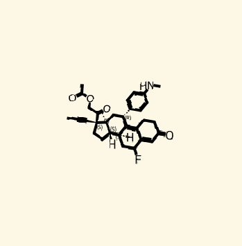 CC#C[C@]1(C(=O)COC(C)=O)CC[C@H]2[C@@H]3CC(F)C4=CC(=O)CCC4=C3[C@@H](c3ccc(NC)cc3)C[C@@]21C